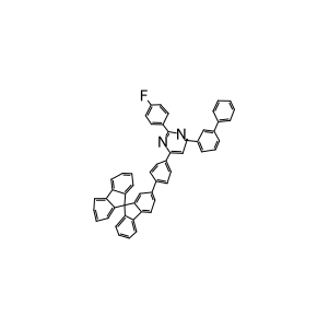 Fc1ccc(-c2nc(-c3ccc(-c4ccc5c(c4)C4(c6ccccc6-c6ccccc64)c4ccccc4-5)cc3)cc(-c3cccc(-c4ccccc4)c3)n2)cc1